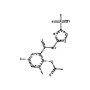 CC(=O)Oc1c(C)cc(I)cc1C(=O)Nc1nc(S(C)(=O)=O)cs1